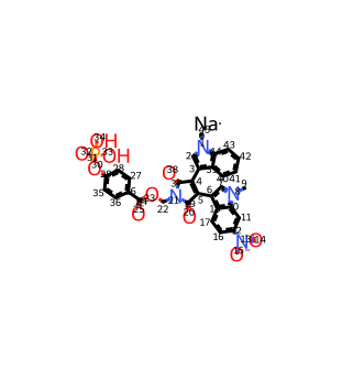 Cn1cc(C2=C(c3cn(C)c4cc([N+](=O)[O-])ccc34)C(=O)N(COC(=O)c3ccc(OP(=O)(O)O)cc3)C2=O)c2ccccc21.[Na]